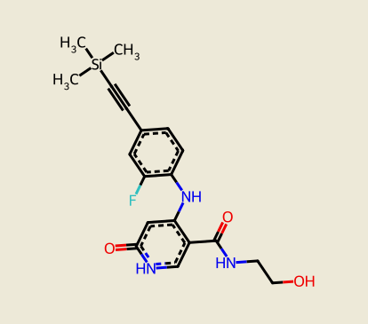 C[Si](C)(C)C#Cc1ccc(Nc2cc(=O)[nH]cc2C(=O)NCCO)c(F)c1